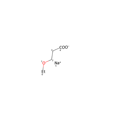 CCOCCC(=O)[O-].[Na+]